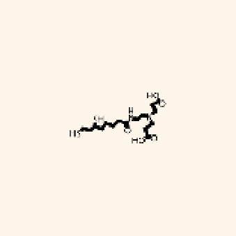 O=C(O)CCN(CCNC(=O)CCCCC(S)CCS)CCC(=O)O